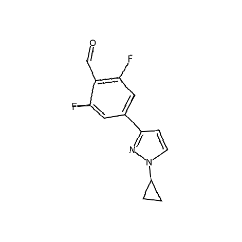 O=Cc1c(F)cc(-c2ccn(C3CC3)n2)cc1F